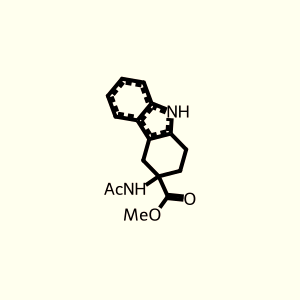 COC(=O)C1(NC(C)=O)CCc2[nH]c3ccccc3c2C1